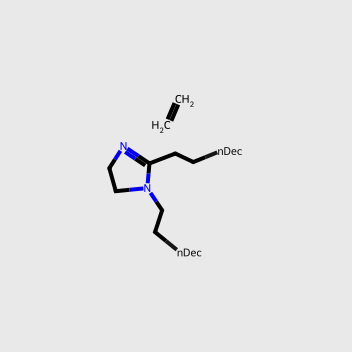 C=C.CCCCCCCCCCCCC1=NCCN1CCCCCCCCCCCC